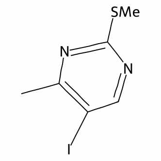 CSc1ncc(I)c(C)n1